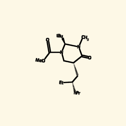 CCC[C@H](CC)C[C@@H]1CN(C(=O)OC)[C@@H](C(C)(C)C)N(C)C1=O